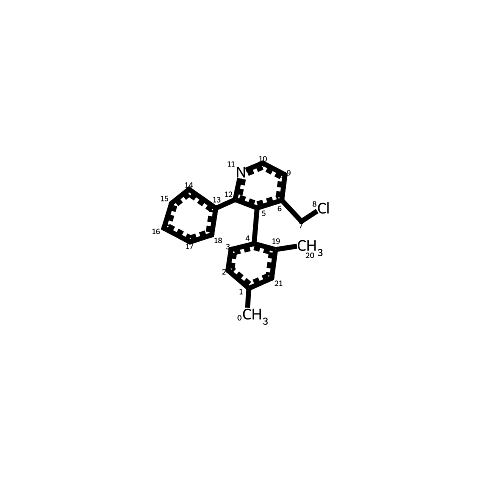 Cc1ccc(-c2c(CCl)ccnc2-c2ccccc2)c(C)c1